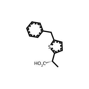 C[C@H](C(=O)O)c1ccc(Cc2ccccc2)s1